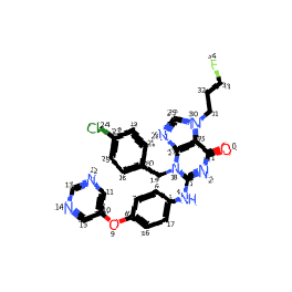 O=c1nc(Nc2ccc(Oc3cncnc3)cc2)n(Cc2ccc(Cl)cc2)c2ncn(CCCF)c12